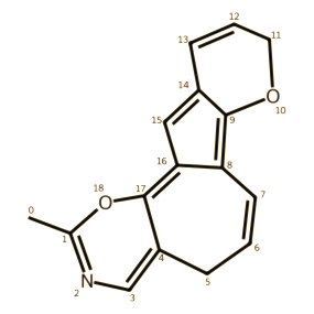 CC1=NC=C2CC=CC3=C4OCC=CC4=CC3=C2O1